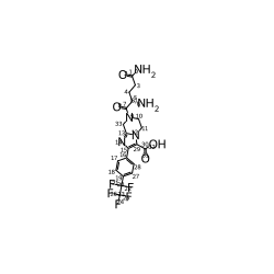 NC(=O)CC[C@H](N)C(=O)N1CCn2c(nc(-c3ccc(C(F)(F)C(F)(F)F)cc3)c2C(=O)O)C1